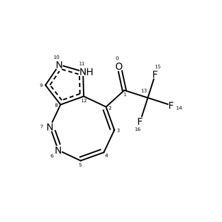 O=C(C1=CC=CN=Nc2cn[nH]c21)C(F)(F)F